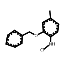 Cc1ccc(NCl)c(OCc2ccccc2)c1